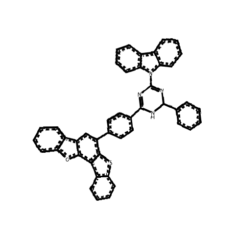 c1ccc(C2N=C(n3c4ccccc4c4ccccc43)N=C(c3ccc(-c4cc5c6ccccc6oc5c5c4sc4ccccc45)cc3)N2)cc1